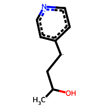 CC(O)C[CH]c1ccncc1